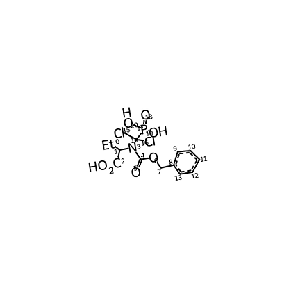 CCC(C(=O)O)N(C(=O)OCc1ccccc1)C(Cl)(Cl)P(=O)(O)O